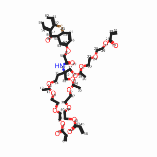 C=CC(=O)OCCOCCOC(C)OCCC(COC(C)OCCOCCOC(=O)C=C)(COC(C)OCCOCCOC(=O)C=C)NC(=O)COC1=CC2C(=O)C(=C/C)/C(=C\C)SC2C=C1